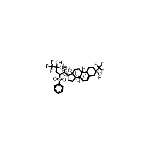 C[C@H](C(CC(C)(O)C(F)(F)F)S(=O)(=O)c1ccccc1)[C@H]1CC[C@H]2[C@@H]3CC=C4C[C@](O)(C(F)(F)F)CC[C@]4(C)[C@H]3CC[C@]12C